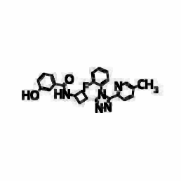 Cc1ccc(-c2nnc([C@H]3C[C@H](NC(=O)c4cccc(O)c4)C3)n2-c2ccccc2F)nc1